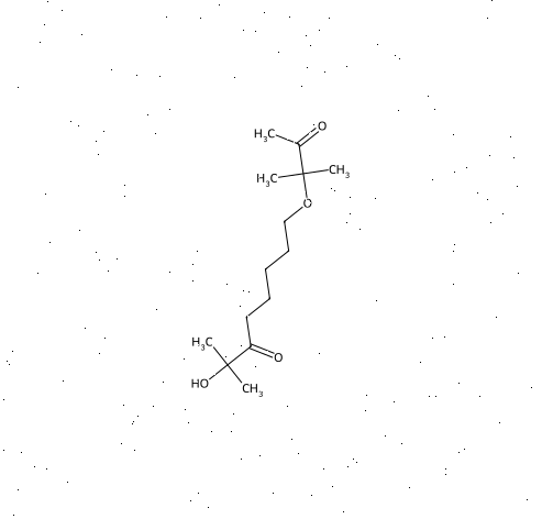 CC(=O)C(C)(C)OCCCCCC(=O)C(C)(C)O